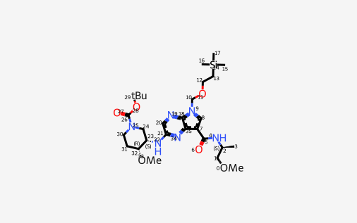 COC[C@H](C)NC(=O)c1cn(COCC[Si](C)(C)C)c2ncc(N[C@H]3CN(C(=O)OC(C)(C)C)CC[C@H]3OC)nc12